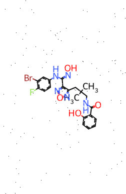 CC(C)(CNC(=O)c1ccccc1O)Cc1nonc1C(=NO)Nc1ccc(F)c(Br)c1